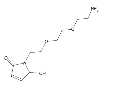 NCCOCCOCCN1C(=O)C=CC1O